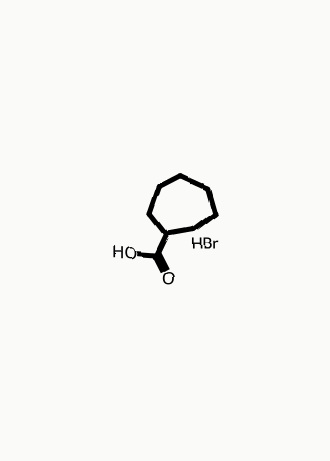 Br.O=C(O)C1CCCCCC1